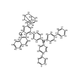 c1ccc(-c2ccc(N(c3ccc(-c4ccccc4)cc3)c3ccc(-c4cc(C56CC7CC(CC(C7)C5)C6)cc5oc6c7ccccc7ccc6c45)cc3)cc2)cc1